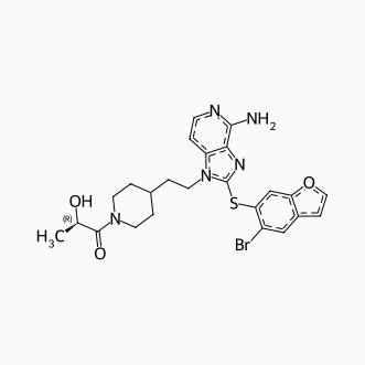 C[C@@H](O)C(=O)N1CCC(CCn2c(Sc3cc4occc4cc3Br)nc3c(N)nccc32)CC1